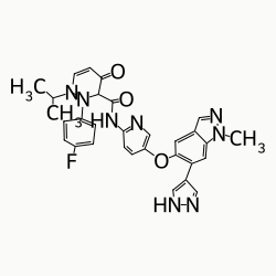 CC(C)N1C=CC(=O)C(C(=O)Nc2ccc(Oc3cc4cnn(C)c4cc3-c3cn[nH]c3)cn2)N1c1ccc(F)cc1